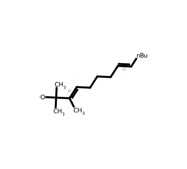 CCCC/C=C/CCC/C=C(\C)C(C)(C)[O]